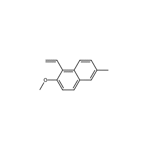 C=Cc1c(OC)ccc2cc(C)ccc12